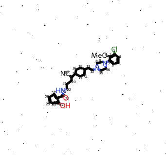 COc1c(Cl)cccc1N1CCN(CCC2CCC(C(C#N)CCCNC(=O)c3ccccc3O)CC2)CC1